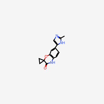 Cc1ncc(-c2ccc3c(c2)OC2(CC2)C(=O)N3)[nH]1